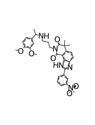 COc1ccc(C(C)NCCCN2C(=O)c3c(ccc4nc(-c5cccc([N+](=O)[O-])c5)[nH]c34)C(C)(C)C2=O)cc1OC